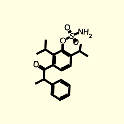 CC(C)c1ccc(C(=O)C(C)c2ccccc2)c(C(C)C)c1OS(N)(=O)=O